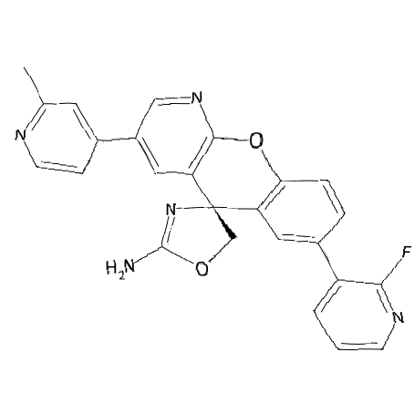 Cc1cc(-c2cnc3c(c2)[C@]2(COC(N)=N2)c2cc(-c4cccnc4F)ccc2O3)ccn1